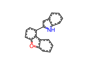 c1ccc2[nH]c(-c3cccc4oc5ccccc5c34)cc2c1